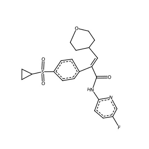 O=C(Nc1ccc(F)cn1)C(=CC1CCOCC1)c1ccc(S(=O)(=O)C2CC2)cc1